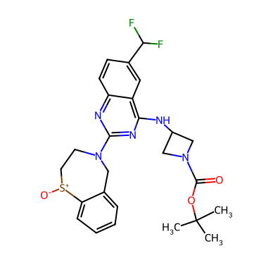 CC(C)(C)OC(=O)N1CC(Nc2nc(N3CC[S+]([O-])c4ccccc4C3)nc3ccc(C(F)F)cc23)C1